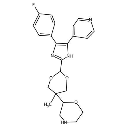 CC1(C2CNCCO2)COC(c2nc(-c3ccc(F)cc3)c(-c3ccncc3)[nH]2)OC1